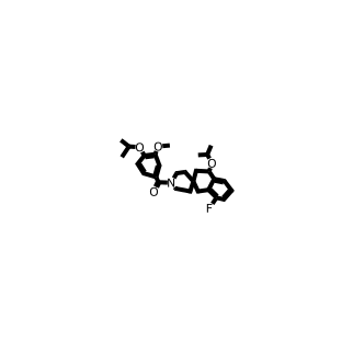 COc1cc(C(=O)N2CCC3(CC2)Cc2c(F)cccc2C(OC(C)C)C3)ccc1OC(C)C